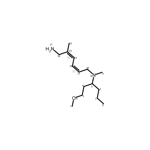 CCCC(CCOC)N(C)C/C=C\C=C(\C)CN